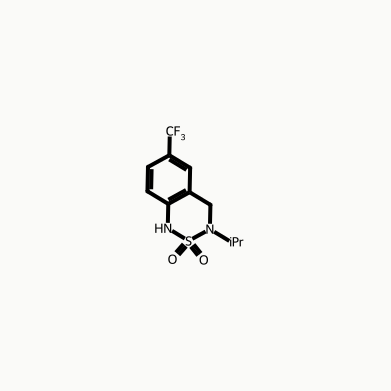 CC(C)N1Cc2cc(C(F)(F)F)ccc2NS1(=O)=O